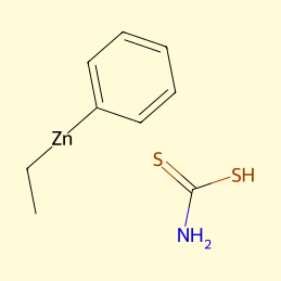 C[CH2][Zn][c]1ccccc1.NC(=S)S